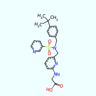 CC(C)(C)c1ccc(CN(Cc2cccc(NCC(=O)O)n2)S(=O)(=O)c2cccnc2)cc1